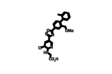 COCc1cc(-c2nc(C3=CC(Cl)C(NCC(=O)O)N=C3)no2)ccc1-c1ccccc1C